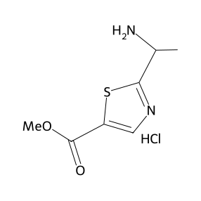 COC(=O)c1cnc(C(C)N)s1.Cl